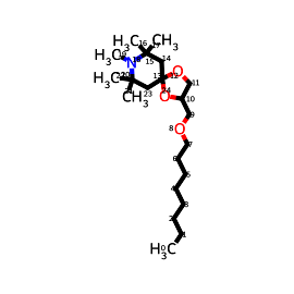 CCCCCCCCOCC1COC2(CC(C)(C)N(C)C(C)(C)C2)O1